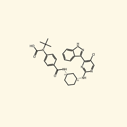 CC(C)(C)N(C(=O)O)c1ccc(C(=O)N[C@H]2CCC[C@@H](Nc3ncc(Cl)c(-c4n[nH]c5ccccc45)n3)C2)cc1